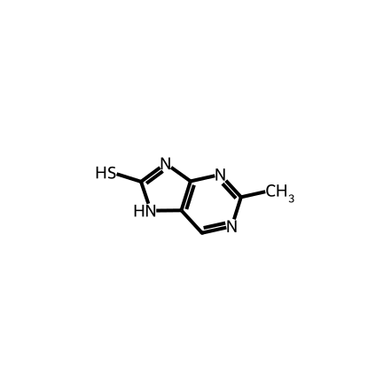 Cc1ncc2[nH]c(S)nc2n1